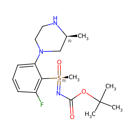 C[C@H]1CN(c2cccc(F)c2[S@](C)(=O)=NC(=O)OC(C)(C)C)CCN1